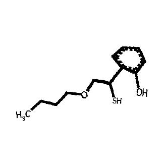 CCCCOCC(S)c1ccccc1O